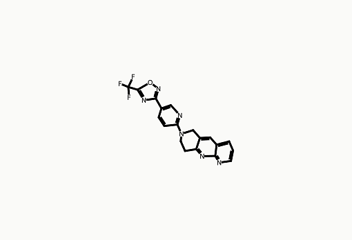 FC(F)(F)c1nc(-c2ccc(N3CCc4nc5ncccc5cc4C3)nc2)no1